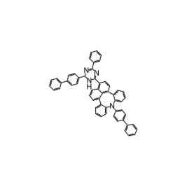 c1ccc(C2=NC(c3ccc(-c4ccccc4)cc3)NC(c3ccc4c5c(cccc35)-c3ccccc3N(c3ccc(-c5ccccc5)cc3)c3ccccc3-4)=N2)cc1